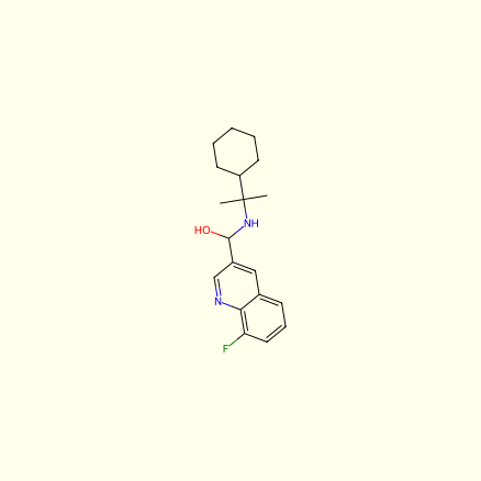 CC(C)(NC(O)c1cnc2c(F)cccc2c1)C1CCCCC1